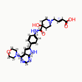 O=C(O)/C=C/CN1CCC(O)(C(=O)Nc2ccc(-c3cc4c(N5CCOCC5)ncnc4[nH]3)cc2)CC1